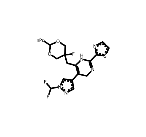 CCCC1OCC(F)(CC2=C(c3cnn(C(F)F)c3)CN=C(c3nccs3)N2)CO1